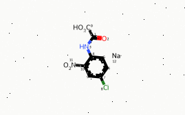 O=C(O)C(=O)Nc1ccc(Cl)cc1[N+](=O)[O-].[Na]